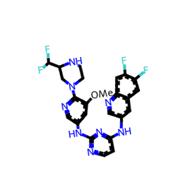 COc1cc(Nc2nccc(Nc3cnc4cc(F)c(F)cc4c3)n2)cnc1N1CCNC(C(F)F)C1